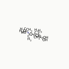 CCC(CC)(c1ccc(/C=C/C(O)C(C)(C)C)c(C)c1)c1ccc(OCC(CO)CO)c(C)c1